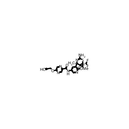 C#CCOc1cnc(C(=O)Nc2cnc(OC)c([C@@]3(C)N=C(N)S[C@@]4(C(F)F)C[C@@H]34)c2)cn1